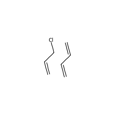 C=CC=C.C=CCCl